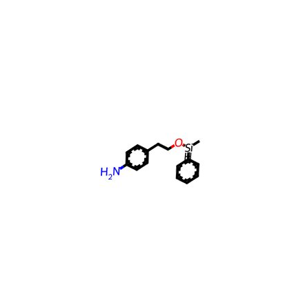 C[SiH](OCCc1ccc(N)cc1)c1ccccc1